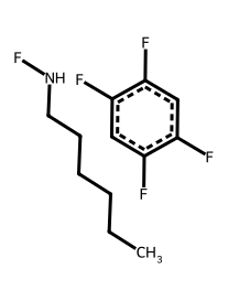 CCCCCCNF.Fc1cc(F)c(F)cc1F